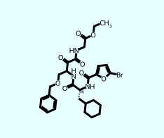 CCOC(=O)CNC(=O)C(=O)C(COCc1ccccc1)NC(=O)[C@@H](CC1CCCCC1)NC(=O)c1ccc(Br)o1